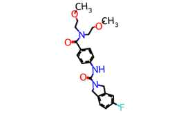 COCCN(CCOC)C(=O)c1ccc(NC(=O)N2Cc3ccc(F)cc3C2)cc1